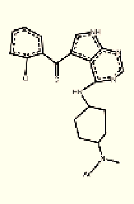 CC(=O)N(C)C1CCC(Nc2ncnc3[nH]cc(C(=O)c4ccccc4Cl)c23)CC1